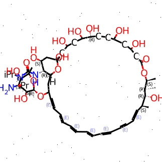 CC1O[C@@H](OC2/C=C/C=C/C=C/C=C/C=C/C=C/C=C/[C@H](C)[C@@H](O)[C@@H](C)[C@H](C)OC(=O)CC(O)CC(O)CC[C@@H](O)C(O)CC(O)C[C@]3(O)C[C@H](O)[C@@H](NC(=O)N(C(C)C)C(C)C)[C@H](C2)O3)[C@@H](O)[C@@H](N)[C@@H]1O